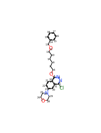 Clc1nnc(OCCCCCCOCc2ccccc2)c2ccc(N3CCOCC3)cc12